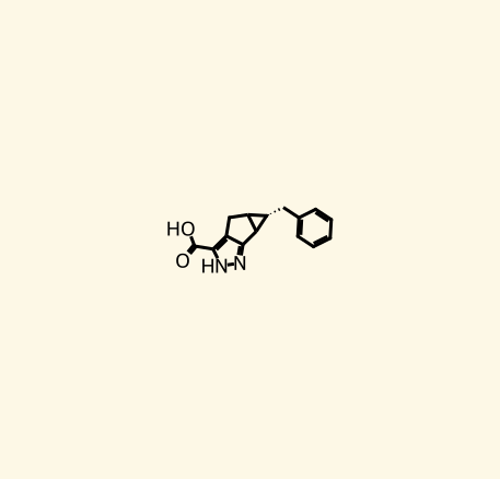 O=C(O)c1[nH]nc2c1CC1C2[C@H]1Cc1ccccc1